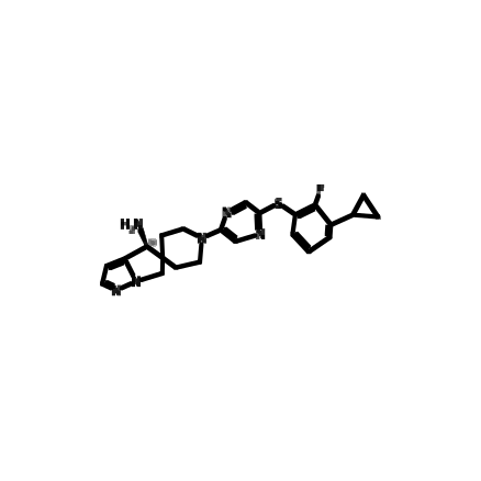 N[C@@H]1c2ccnn2CC12CCN(c1cnc(Sc3cccc(C4CC4)c3F)cn1)CC2